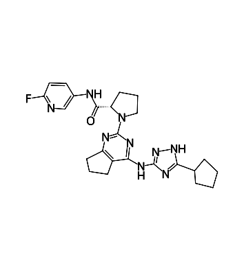 O=C(Nc1ccc(F)nc1)[C@@H]1CCCN1c1nc2c(c(Nc3n[nH]c(C4CCCC4)n3)n1)CCC2